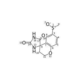 C[S+]([O-])c1ccc2c(c1)C1(CCO2)NC(=O)NC1=O